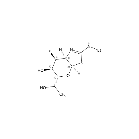 CCNC1=N[C@@H]2[C@H](F)[C@H](O)[C@@H](C(O)C(F)(F)F)O[C@@H]2S1